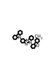 Cc1ccc2oc3cccc(-n4c5ccccc5n5c6cc(-n7c8ccccc8c8ccccc87)ccc6nc45)c3c2c1